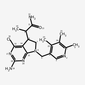 Cc1ncc(CN2CC(C(C)C(N)=O)c3c(Cl)nc(N)nc32)c(C)c1C